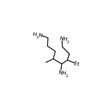 CCC(CCN)C(N)C(C)CCCN